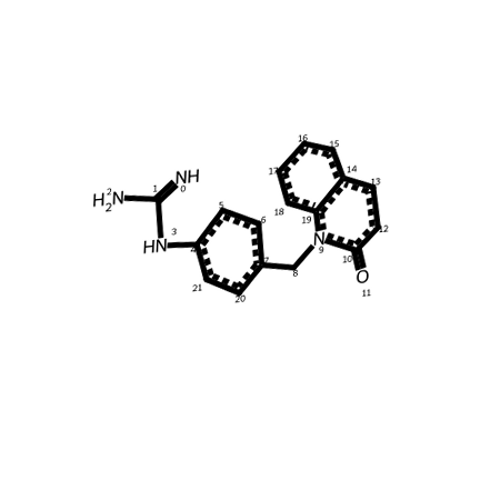 N=C(N)Nc1ccc(Cn2c(=O)ccc3ccccc32)cc1